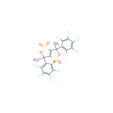 CC1(c2c(F)c(F)c(F)c(F)c2F)OS(=O)(=O)C2=C1S(=O)(=O)OC2(C)c1c(F)c(F)c(F)c(F)c1F